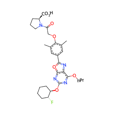 CCCOc1nc(O[C@@H]2CCCC[C@H]2F)nc2oc(-c3cc(C)c(OCC(=O)N4CCC[C@H]4C(=O)O)c(C)c3)nc12